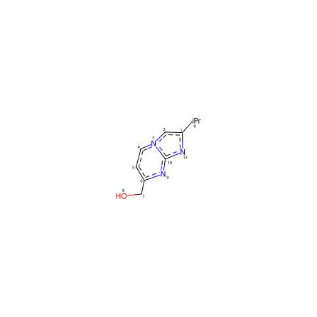 CC(C)c1cn2ccc(CO)nc2n1